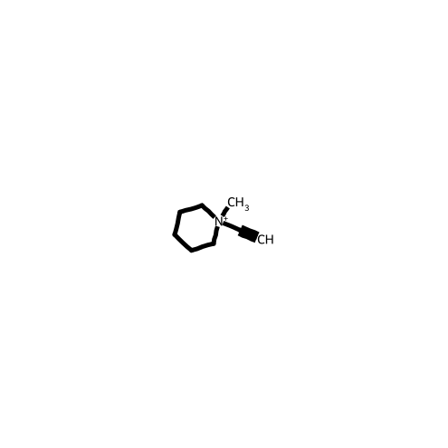 C#C[N+]1(C)CCCCC1